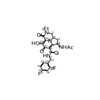 CCN1CC2C[C@@H](NC(C)=O)c3c(C(=O)NCc4ccc(F)cc4F)c(=O)c(O)c(n32)C1=O